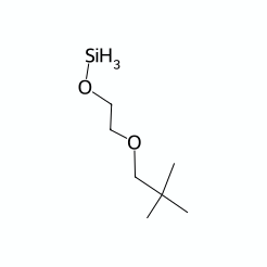 CC(C)(C)COCCO[SiH3]